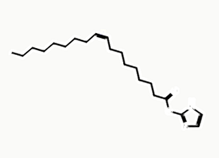 CCCCCCCC/C=C\CCCCCCCC(=O)Oc1ncc[nH]1